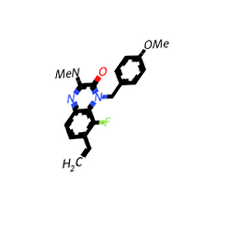 C=Cc1ccc2nc(NC)c(=O)n(Cc3ccc(OC)cc3)c2c1F